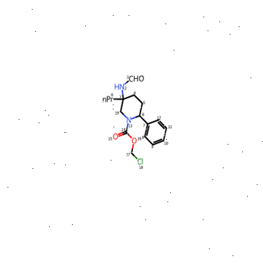 CCCC1(NC=O)CCC(c2ccccc2)N(C(=O)OCCl)C1